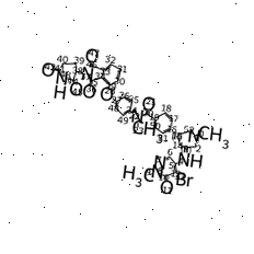 CN1C[C@H](Nc2cnn(C)c(=O)c2Br)C[C@H](c2ccc(C(=O)N(C)c3ccc(Oc4cccc5c4C(=O)N(C4CCC(=O)NC4=O)C5=O)cc3)cc2)C1